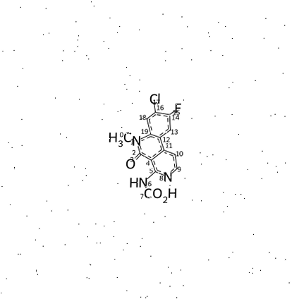 Cn1c(=O)c2c(NC(=O)O)nccc2c2cc(F)c(Cl)cc21